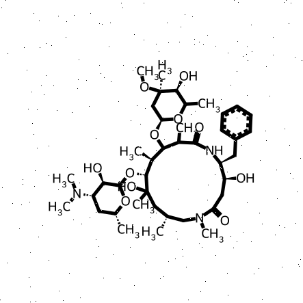 CO[C@]1(C)C[C@H](OC2C(C)C(=O)N[C@@H](Cc3ccccc3)[C@@H](O)CC(=O)N(C)C[C@H](C)CC(C)(O)[C@H](OC3O[C@H](C)C[C@H](N(C)C)[C@H]3O)[C@H]2C)OC(C)[C@@H]1O